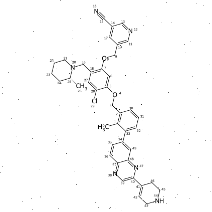 Cc1c(COc2cc(OCc3cncc(C#N)c3)c(CN3CCCC[C@H]3C)cc2Cl)cccc1-c1ccc2ncc(C3=CCNCC3)nc2c1